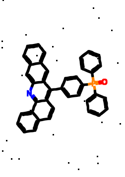 O=P(c1ccccc1)(c1ccccc1)c1ccc(-c2c3cc4ccccc4cc3nc3c2ccc2ccccc23)cc1